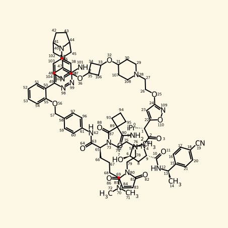 CC(C)[C@@H](C(=O)N1C[C@H](O)C[C@H]1C(=O)N[C@H](C)c1ccc(C#N)cc1)c1cc(OCCN2CCC(OC3CC(Oc4cc(N5C6CCC5CN(c5cc(-c7ccccc7OCc7ccc(NC(=O)[C@H](CCCCN(C)C)N(CCN(C)CCN8C(=O)C=CC8=O)C(=O)C8(C(N)=O)CCC8)cc7)nnc5N)C6)ccn4)C3)CC2)no1